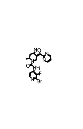 CC1Cc2noc(-c3ncccn3)c2CN1C(=O)Nc1ccnc(Br)c1F